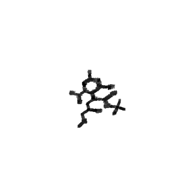 COCC(=O)CN(C(=O)OC(C)(C)C)c1c(Br)cc(C)cc1[N+](=O)[O-]